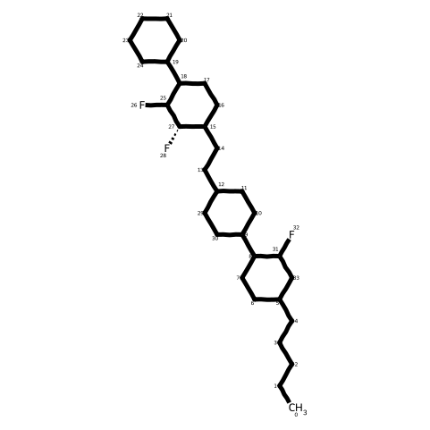 CCCCCC1CCC(C2CCC(CCC3CCC(C4CCCCC4)C(F)[C@H]3F)CC2)C(F)C1